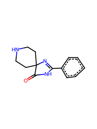 O=C1NC(c2ccccc2)=NC12CCNCC2